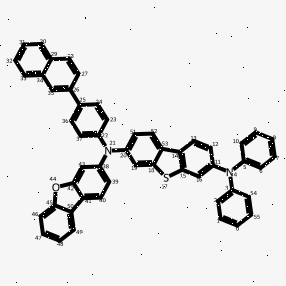 c1ccc(N(c2ccccc2)c2ccc3c(c2)sc2cc(N(c4ccc(-c5ccc6ccccc6c5)cc4)c4ccc5c(c4)oc4ccccc45)ccc23)cc1